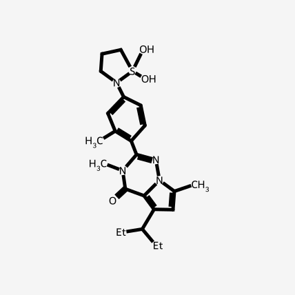 CCC(CC)c1cc(C)n2nc(-c3ccc(N4CCCS4(O)O)cc3C)n(C)c(=O)c12